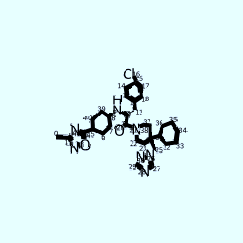 Cc1noc(C2CCC(N[C@H](Cc3ccc(Cl)cc3)C(=O)N3CCC(Cn4cncn4)(C4CCCCC4)CC3)CC2)n1